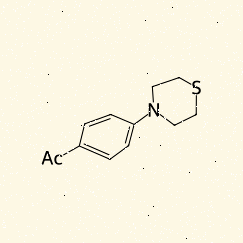 CC(=O)c1ccc(N2CCSCC2)cc1